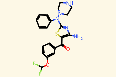 Nc1nc(N(c2ccccc2)N2CCNCC2)sc1C(=O)c1cccc(OC(F)F)c1